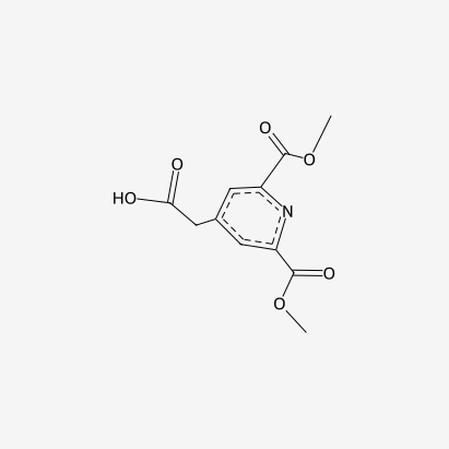 COC(=O)c1cc(CC(=O)O)cc(C(=O)OC)n1